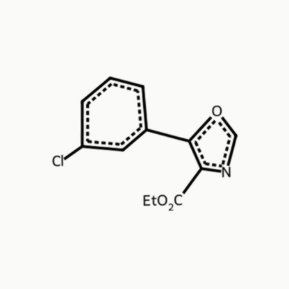 CCOC(=O)c1ncoc1-c1cccc(Cl)c1